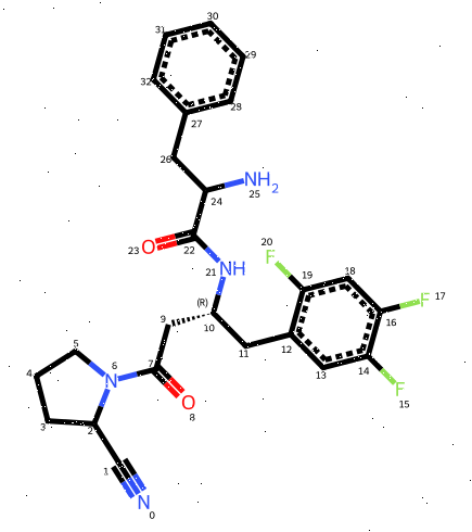 N#CC1CCCN1C(=O)C[C@@H](Cc1cc(F)c(F)cc1F)NC(=O)C(N)Cc1ccccc1